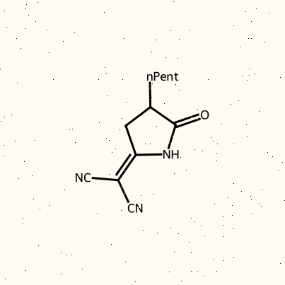 CCCCCC1CC(=C(C#N)C#N)NC1=O